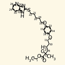 CCOC(=O)C(C)(C)CCCCOc1ccc(OCCCCCSc2nc3ncccc3[nH]2)cc1